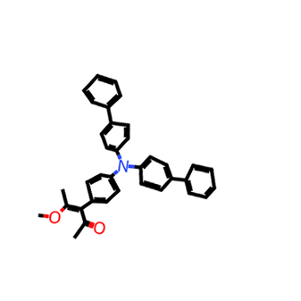 CO/C(C)=C(\C(C)=O)c1ccc(N(c2ccc(-c3ccccc3)cc2)c2ccc(-c3ccccc3)cc2)cc1